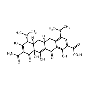 CN(C)c1cc(C(=O)C(=O)O)c(O)c2c1C[C@H]1C[C@H]3[C@H](N(C)C)C(O)=C(C(N)=O)C(=O)[C@@]3(O)C(O)=C1C2=O